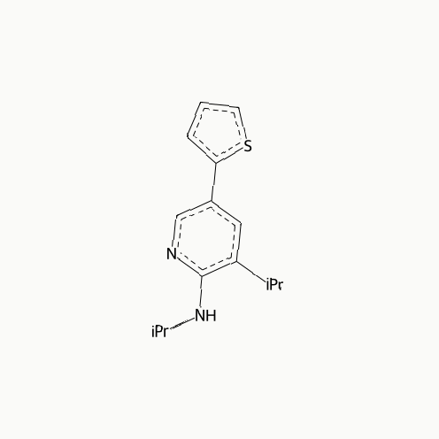 CC(C)Nc1ncc(-c2cccs2)cc1C(C)C